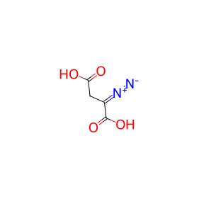 [N-]=[N+]=C(CC(=O)O)C(=O)O